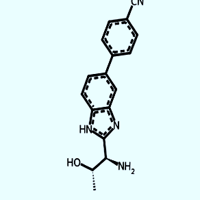 C[C@H](O)[C@H](N)c1nc2cc(-c3ccc(C#N)cc3)ccc2[nH]1